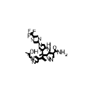 CC[C@H]1CN(c2cnc(C(F)(F)F)cn2)C[C@H]1Nc1c(C(N)=O)cnn2cc(-c3cnn(C[C@@H](C)O)c3)cc12